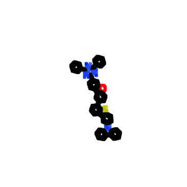 c1ccc(-c2nc(-c3ccccc3)nc(-c3ccc4c(c3)oc3ccc(-c5cccc6c5sc5ccc(-n7c8ccccc8c8ccccc87)cc56)cc34)n2)cc1